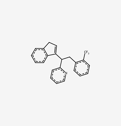 FC(F)(F)c1ccccc1CC(C1=CCc2ccccc21)c1ccccn1